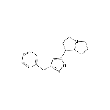 c1ccc(Cc2cc(C3CCN4CCCC34)on2)cc1